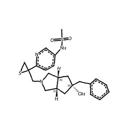 CS(=O)(=O)Nc1ccc(C2(CN3C[C@@H]4C[C@@](O)(Cc5ccccc5)C[C@@H]4C3)CS2)nc1